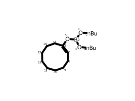 CCCCOB(OCCCC)OC1=CCCCCCCCC1